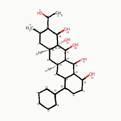 CC(O)C1C(C)C[C@@H]2C[C@@H]3CC4C(C5CCCCC5)CCC(O)C4C(O)C3C(O)[C@]2(O)C1O